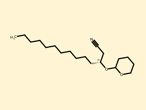 CCCCCCCCCCC[C@H](CC#N)OC1CCCCO1